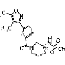 Cc1c(-c2ccc(C(=O)N3CCC[C@@H](NS(C)(=O)=O)C3)s2)noc1C(F)(F)F